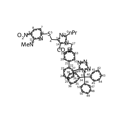 CCCc1nc(CSc2ccc([N+](=O)[O-])c(NC)n2)c(C(=O)OCC)n1Cc1ccc(-c2ccccc2-c2nnnn2C(c2ccccc2)(c2ccccc2)c2ccccc2)cc1